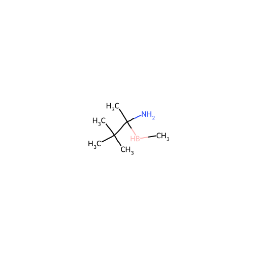 CBC(C)(N)C(C)(C)C